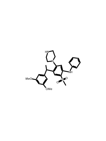 COc1cc(OC)cc(C(C)c2cc(S(C)(=O)=O)c(Nc3ccccc3)cc2N2CCNCC2)c1